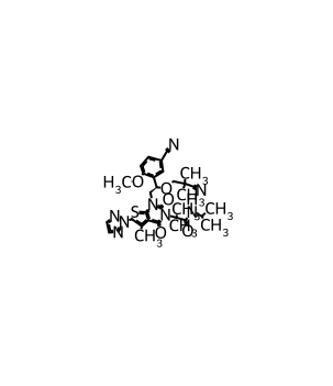 COc1ccc(C#N)cc1[C@H](Cn1c(=O)n(C(C)(C)C(=O)NC(C)C)c(=O)c2c(C)c(-n3nccn3)sc21)OCC(C)(C)C#N